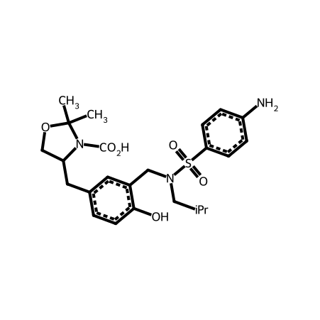 CC(C)CN(Cc1cc(CC2COC(C)(C)N2C(=O)O)ccc1O)S(=O)(=O)c1ccc(N)cc1